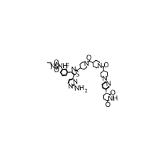 CCN(C)S(=O)(=O)Nc1cccc(-c2nc(C3CCN(C(=O)C4CCN(C(=O)C5CCN(c6ccc([C@@H]7CCC(=O)NC7=O)cn6)CC5)CC4)CC3)sc2-c2ccnc(N)n2)c1F